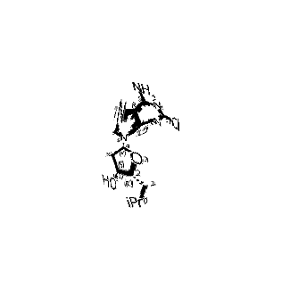 CC(C)C[C@H]1O[C@@H](n2cnc3c(N)nc(Cl)nc32)C[C@@H]1O